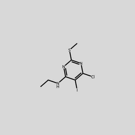 CCNc1nc(SC)nc(Cl)c1I